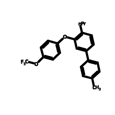 CCCc1ccc(-c2ccc(C)cc2)cc1Oc1ccc(OC(F)(F)F)cc1